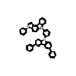 c1ccc(-c2ccc3c(c2)c2cc(-c4ccccc4)ccc2n3-c2cccc(-n3c4ccccc4c4c5ccn(-c6ccccc6)c5ccc43)c2)cc1